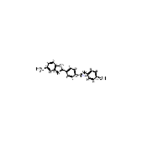 Cc1ccc2sc(-c3ccc(/N=N/c4ccc(O)cc4)cc3)nc2c1